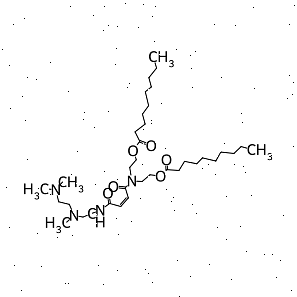 CCCCCCCCCC(=O)OCCN(CCOC(=O)CCCCCCCCC)C(=O)/C=C\C(=O)NCCN(C)CCN(C)C